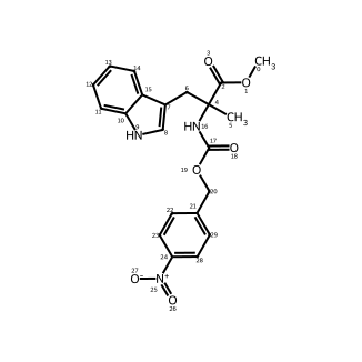 COC(=O)C(C)(Cc1c[nH]c2ccccc12)NC(=O)OCc1ccc([N+](=O)[O-])cc1